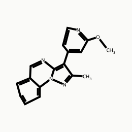 COc1cc(-c2c(C)nn3c2ncc2ccccc23)ccn1